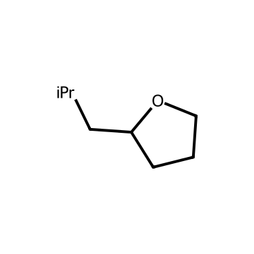 [CH2]C(C)CC1CCCO1